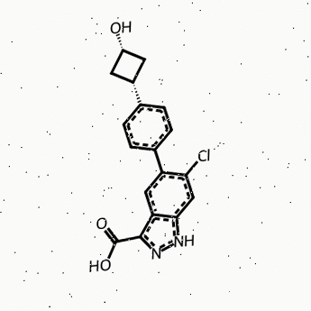 O=C(O)c1n[nH]c2cc(Cl)c(-c3ccc([C@H]4C[C@@H](O)C4)cc3)cc12